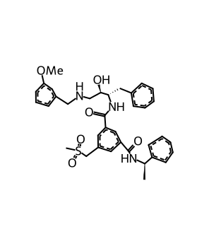 COc1cccc(CNC[C@@H](O)[C@H](Cc2ccccc2)NC(=O)c2cc(CS(C)(=O)=O)cc(C(=O)N[C@H](C)c3ccccc3)c2)c1